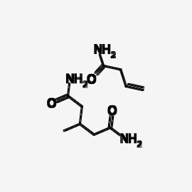 C=CCC(N)=O.CC(CC(N)=O)CC(N)=O